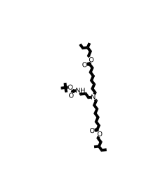 CCC(C)CCOC(=O)CCCCCCCN(CCCCCCCC(=O)OCCC(C)CC)CCCNC(=O)OC(C)(C)C